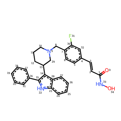 O=C(C=Cc1ccc(CN2CCCC(c3c(-c4ccccc4)[nH]c4ccccc34)C2)c(F)c1)NO